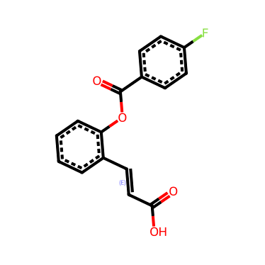 O=C(O)/C=C/c1ccccc1OC(=O)c1ccc(F)cc1